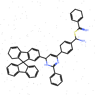 N=C(SC(N)C1=CCC(C2=CC(c3ccc4c(c3)C3(C5=C4C=CCC5)c4ccccc4-c4ccccc43)NC(c3ccccc3)=N2)C=C1)C1=CCCC=C1